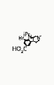 CC(C)N1c2c(Br)cc(C(=O)O)cc2C2CCN(C)CC21